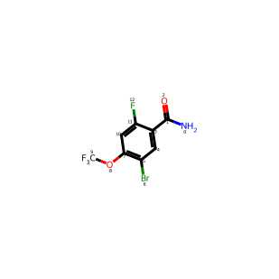 NC(=O)c1cc(Br)c(OC(F)(F)F)cc1F